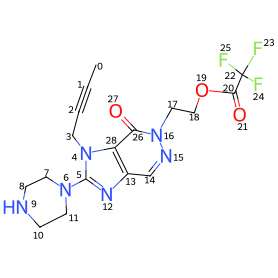 CC#CCn1c(N2CCNCC2)nc2cnn(CCOC(=O)C(F)(F)F)c(=O)c21